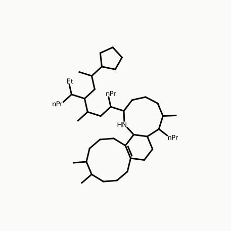 CCCC(CC(C)C(CC(C)C1CCCC1)C(CC)CCC)C1CCCC(C)C(CCC)C2CCC3=C(CCCC(C)C(C)CCC3)C2N1